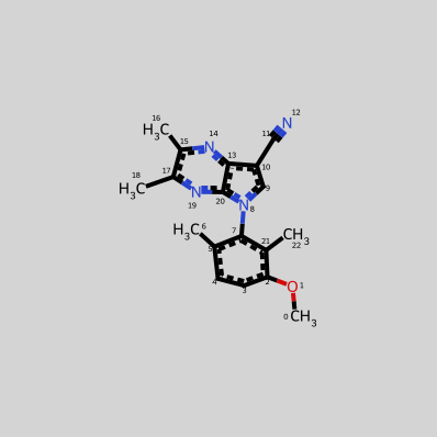 COc1ccc(C)c(-n2cc(C#N)c3nc(C)c(C)nc32)c1C